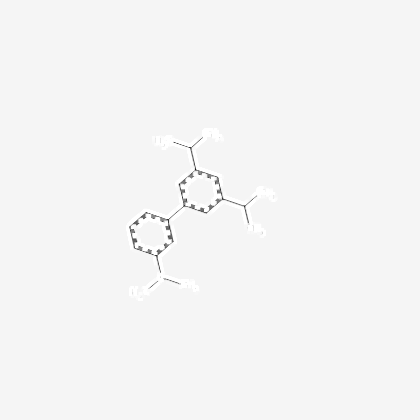 CC(C)c1[c]c(C(C)C)cc(-c2cccc(N(C)C)c2)c1